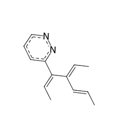 CC=CC(=CC)C(=CC)c1cccnn1